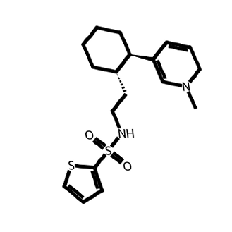 CN1C=C([C@@H]2CCCC[C@H]2CCNS(=O)(=O)c2cccs2)C=CC1